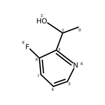 CC(O)c1ncccc1F